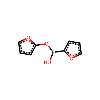 OB(Oc1ccco1)c1ccco1